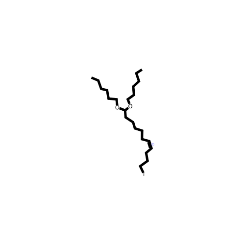 CCCCCCOC(CCCCC/C=C\CCCI)OCCCCCC